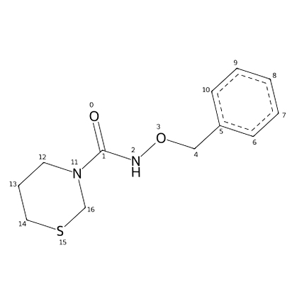 O=C(NOCc1ccccc1)N1CCCSC1